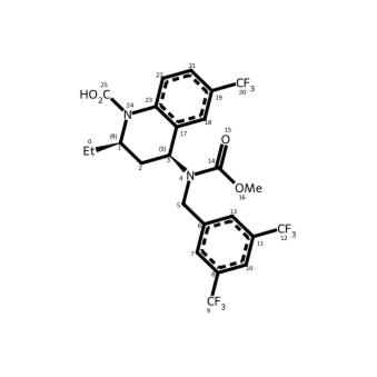 CC[C@@H]1C[C@H](N(Cc2cc(C(F)(F)F)cc(C(F)(F)F)c2)C(=O)OC)c2cc(C(F)(F)F)ccc2N1C(=O)O